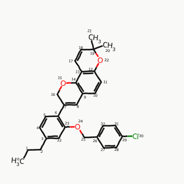 CCCc1ccc(C2=Cc3ccc4c(c3OC2)C=CC(C)(C)O4)c(OCc2ccc(Cl)cc2)c1